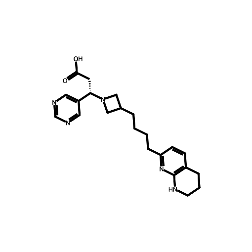 O=C(O)C[C@@H](c1cncnc1)N1CC(CCCCc2ccc3c(n2)NCCC3)C1